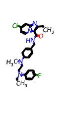 CCc1nc2cc(Cl)ccn2c1C(=O)NCC1=CCC(N(C)CCN(CC)c2ccc(F)cc2)C=C1